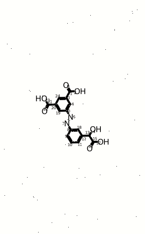 O=C(O)c1cc(N=Nc2cccc(C(O)C(=O)O)c2)cc(C(=O)O)c1